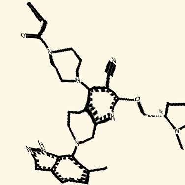 C=CC(=O)N1CCN(c2c(C#N)c(OC[C@@H]3CCCN3C)nc3c2CCN(c2c(C)ccc4cn[nH]c24)C3)CC1